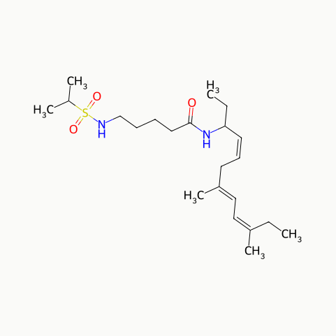 CC/C(C)=C\C=C(/C)C/C=C\C(CC)NC(=O)CCCCNS(=O)(=O)C(C)C